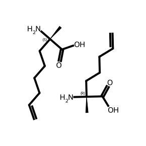 C=CCCCC[C@](C)(N)C(=O)O.C=CCCC[C@@](C)(N)C(=O)O